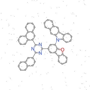 c1ccc2cc(-c3nc(-c4cc(-n5c6ccccc6c6cc7ccccc7cc65)c5oc6ccccc6c5c4)nc(-c4cc5ccccc5c5ccccc45)n3)ccc2c1